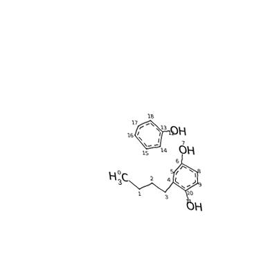 CCCCc1cc(O)ccc1O.Oc1ccccc1